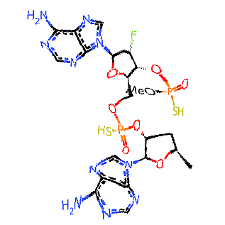 CO[P@@](=O)(S)O[C@H]1[C@@H](F)[C@H](n2cnc3c(N)ncnc32)O[C@@H]1CO[P@@](=O)(S)O[C@@H]1C[C@@H](C)O[C@H]1n1cnc2c(N)ncnc21